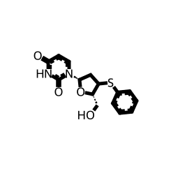 O=c1ccn([C@@H]2CC(Sc3ccccc3)[C@H](CO)O2)c(=O)[nH]1